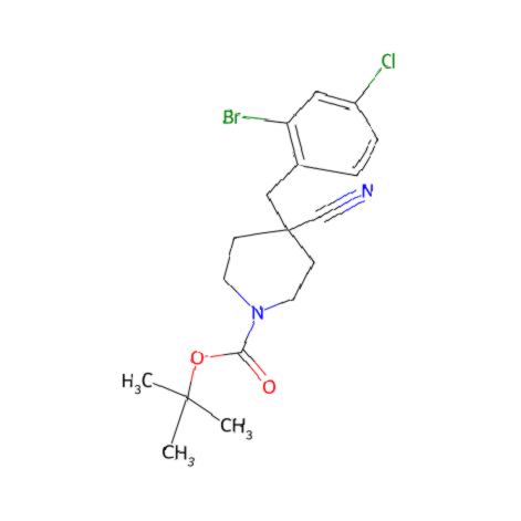 CC(C)(C)OC(=O)N1CCC(C#N)(Cc2ccc(Cl)cc2Br)CC1